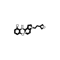 Clc1cccc(Cl)c1Nc1nccc2c1ccn2CCC1COC1